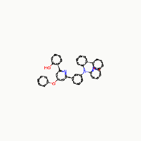 Oc1ccccc1-c1cc(Oc2ccccc2)cc(-c2cccc(N(c3ccccn3)c3ccccc3-c3ccccc3)c2)n1